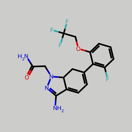 NC(=O)CN1N=C(N)C2=CC=C(c3c(F)cccc3OCC(F)(F)F)CC21